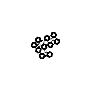 c1ccc([Si](c2ccccc2)(c2ccccc2)c2cccc(N3c4ccccc4[Si](c4ccccc4)(c4ccccc4)c4cc(-n5c6ccccc6c6ccccc65)ccc43)c2)cc1